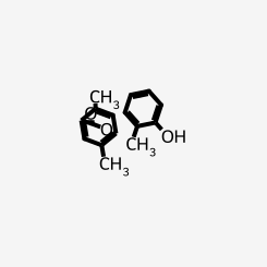 Cc1cc2c(C)cc1oc2=O.Cc1ccccc1O